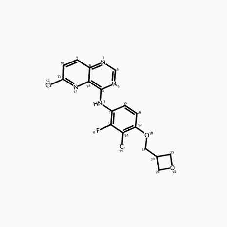 Fc1c(Nc2ncnc3ccc(Cl)nc23)ccc(OCC2COC2)c1Cl